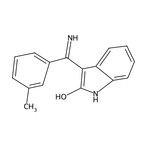 Cc1cccc(C(=N)c2c(O)[nH]c3ccccc23)c1